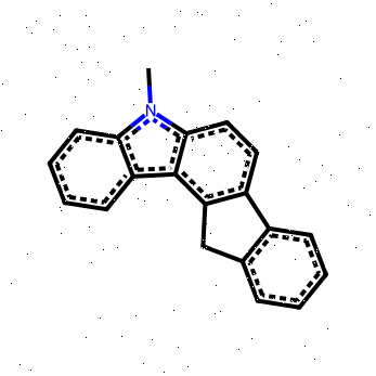 Cn1c2ccccc2c2c3c(ccc21)-c1ccccc1C3